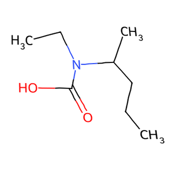 CCCC(C)N(CC)C(=O)O